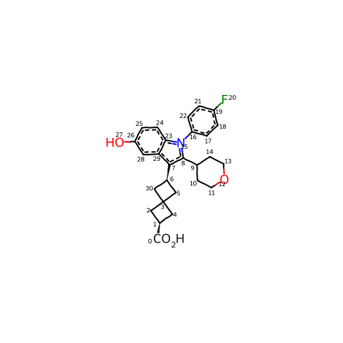 O=C(O)[C@H]1CC2(C1)C[C@H](c1c(C3CCOCC3)n(-c3ccc(F)cc3)c3ccc(O)cc31)C2